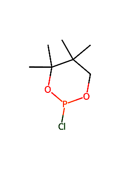 CC1(C)COP(Cl)OC1(C)C